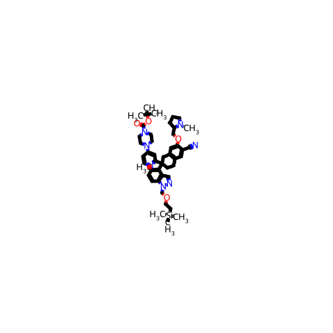 Cc1ccc2c(cnn2COCC[Si](C)(C)C)c1C1(c2cc(N3CCN(C(=O)OC(C)(C)C)CC3)ccn2)CCc2cc(C#N)c(OCC3CCCN3C)cc2C1